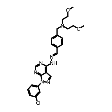 COCCN(CCOC)Cc1ccc(/C=N/Nc2ncnc3c2cnn3-c2cccc(Cl)c2)cc1